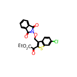 CCOC(=O)C(=O)c1sc2cc(Cl)ccc2c1CON1C(=O)c2ccccc2C1=O